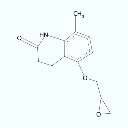 Cc1ccc(OCC2CO2)c2c1NC(=O)CC2